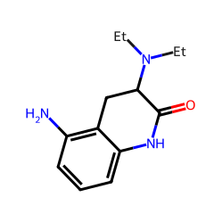 CCN(CC)C1Cc2c(N)cccc2NC1=O